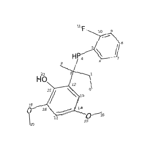 CCC(C)(Pc1ccccc1F)c1cc(OC)cc(OC)c1O